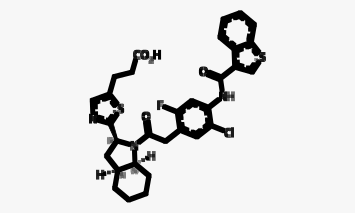 O=C(O)CCc1cnc([C@@H]2C[C@@H]3CCCC[C@@H]3N2C(=O)Cc2cc(Cl)c(NC(=O)c3csc4ccccc34)cc2F)s1